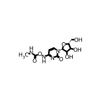 CNC(=O)ONc1ccn([C@@H]2O[C@H](CO)C(O)C2O)c(=O)n1